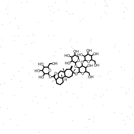 C=C1C[C@@]2(C)CCC3[C@](C)(C(=O)OC4OC(CO)C(O)C(O)C4O)CCC[C@@]3(C)[C@@H]2CC[C@@]1(C)OC1OC(CO)C(O)C(OC2OC(CO)C(O)C(O)C2O)C1OC1OCC(O)C(O)C1O